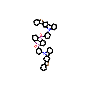 O=P1(c2cccc(-n3c4ccccc4c4cc5sc6ccccc6c5cc43)c2)c2cccc3c2-c2c1cccc2P3(=O)c1cccc(-n2c3ccccc3c3cc4sc5ccccc5c4cc32)c1